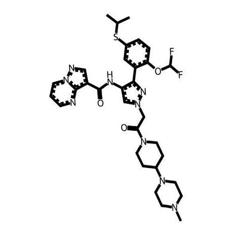 CC(C)Sc1ccc(OC(F)F)c(-c2nn(CC(=O)N3CCC(N4CCN(C)CC4)CC3)cc2NC(=O)c2cnn3cccnc23)c1